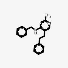 Cc1ncc(CCc2ccccc2)c(NCc2ccccc2)n1